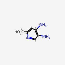 Nc1cnc(C(=O)O)cc1N